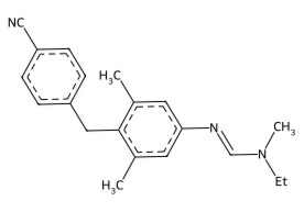 CCN(C)C=Nc1cc(C)c(Cc2ccc(C#N)cc2)c(C)c1